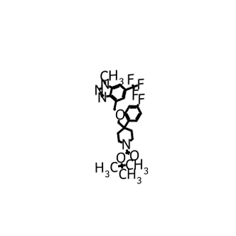 Cn1nnc2c(COCC3(c4ccc(F)cc4)CCN(C(=O)OC(C)(C)C)CC3)cc(C(F)(F)F)cc21